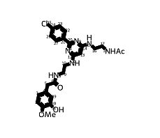 COc1ccc(CC(=O)NCCNc2cc(NCCNC(C)=O)nc(-c3ccc(Cl)cc3)n2)cc1O